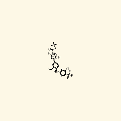 CCc1cc(N2C[C@@H]3C[C@H]2CN3C(=O)OC(C)(C)C)ccc1Nc1ncc(C(F)(F)F)c(Cl)n1